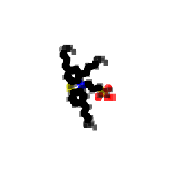 CCCCc1cc(CCCC)c2c(c1)Sc1ccc(CCCC)cc1N2CCCS(=O)(=O)O